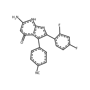 [C-]#[N+]c1ccc(-c2c(-c3ccc(F)cc3F)nc3[nH]c(N)cc(=O)n23)cc1